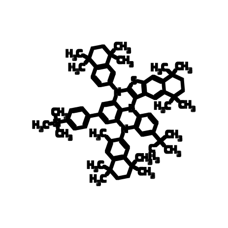 Cc1cc2c(cc1N1c3cc(C(C)(C)C)ccc3B3c4c1cc(-c1ccc([Si](C)(C)C)cc1)cc4N(c1ccc4c(c1)C(C)(C)CCC4(C)C)c1sc4cc5c(cc4c13)C(C)(C)CCC5(C)C)C(C)(C)CCC2(C)C